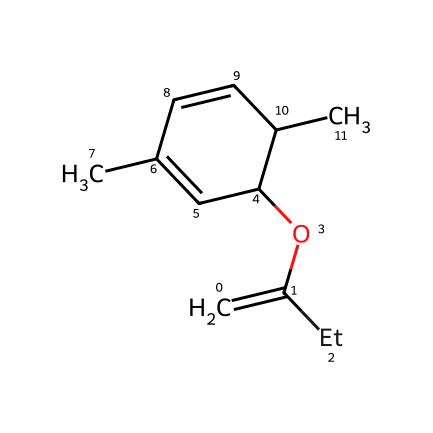 C=C(CC)OC1C=C(C)C=CC1C